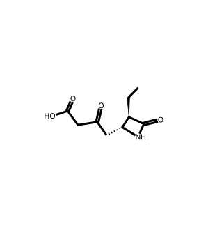 CC[C@H]1C(=O)N[C@@H]1CC(=O)CC(=O)O